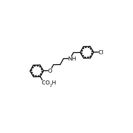 O=C(O)c1ccccc1OCCCNCc1ccc(Cl)cc1